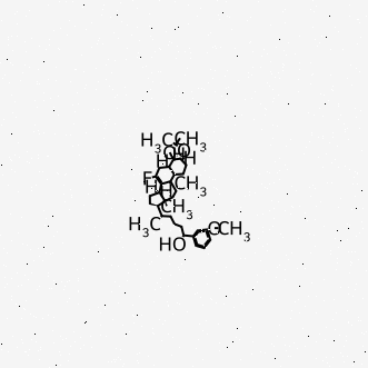 COc1cccc(C(O)CCC[C@@H](C)[C@H]2CC[C@H]3C4=C(F)C[C@H]5[C@H]6OC(C)(C)O[C@H]6CC[C@]5(C)[C@H]4CC[C@]23C)c1